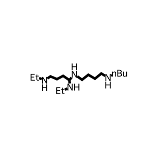 CCCCNCCCCNC(CCCNCC)NCC